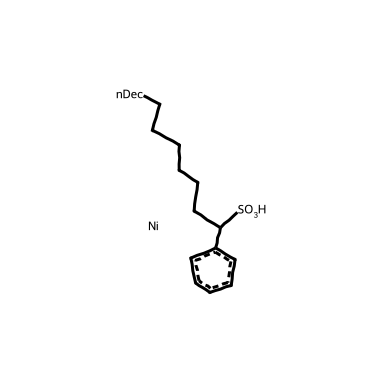 CCCCCCCCCCCCCCCCC(c1ccccc1)S(=O)(=O)O.[Ni]